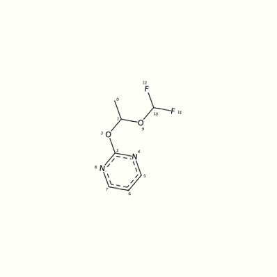 CC(Oc1ncccn1)OC(F)F